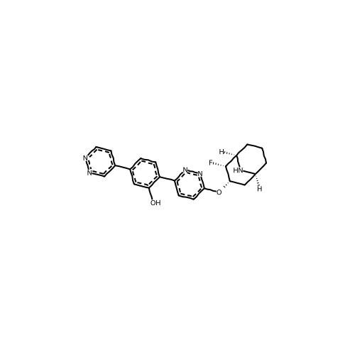 Oc1cc(-c2ccnnc2)ccc1-c1ccc(O[C@H]2C[C@@H]3CCC[C@@H](N3)[C@H]2F)nn1